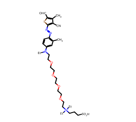 CCN(CCOCCOCCOCCOCC[N+](CC)(CC)CCCS(=O)(=O)O)c1ccc(/N=N/c2sc(C=O)c(C)c2C#N)c(C)c1